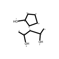 CC(O)CC(C)O.OC1CCCC1